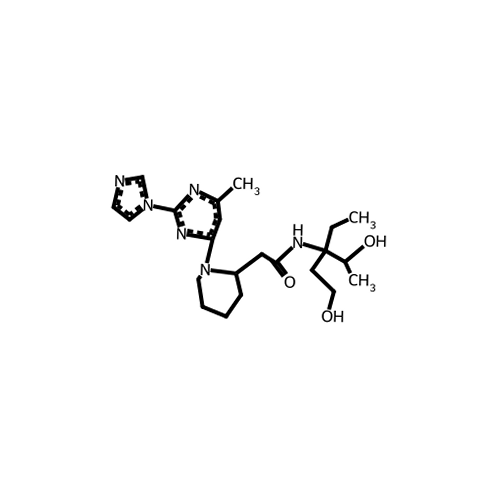 CCC(CCO)(NC(=O)CC1CCCCN1c1cc(C)nc(-n2ccnc2)n1)C(C)O